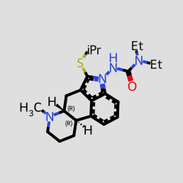 CCN(CC)C(=O)Nn1c(SC(C)C)c2c3c(cccc31)[C@H]1CCCN(C)[C@@H]1C2